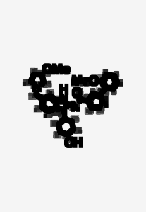 COc1ccccc1-c1cc(C(=O)/N=c2\[nH]c3cc(CN4CC[C@@H](OC)C4)ccc3n2[C@H]2CC[C@@H](O)CC2)ccn1